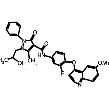 COc1ccc2nccc(Oc3ccc(NC(=O)c4c(C)n(CC(C)O)n(-c5ccccc5)c4=O)cc3F)c2c1